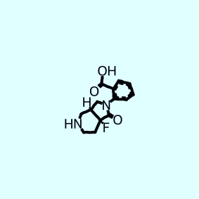 O=C(O)c1ccccc1N1C[C@H]2CNCC[C@@]2(F)C1=O